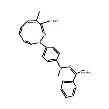 CCOC(=O)/C(=N/N(C)c1ccc(-n2nccccc(C)c(C(=O)OCC)n2)cc1)c1ccccn1